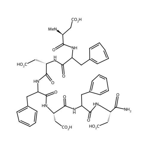 CN[C@@H](CC(=O)O)C(=O)NC(Cc1ccccc1)C(=O)N[C@@H](CC(=O)O)C(=O)NC(Cc1ccccc1)C(=O)N[C@@H](CC(=O)O)C(=O)NC(Cc1ccccc1)C(=O)N[C@@H](CC(=O)O)C(N)=O